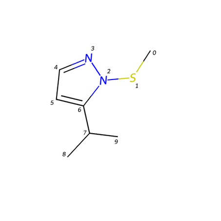 CSn1nccc1C(C)C